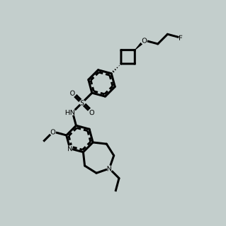 CCN1CCc2cc(NS(=O)(=O)c3ccc([C@H]4C[C@H](OCCF)C4)cc3)c(OC)nc2CC1